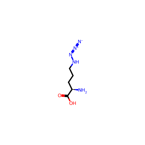 [N-]=[N+]=NNCCC[C@@H](N)C(=O)O